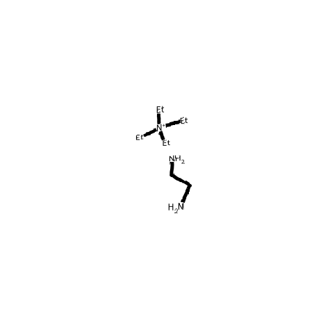 CC[N+](CC)(CC)CC.NCCN